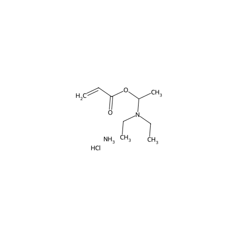 C=CC(=O)OC(C)N(CC)CC.Cl.N